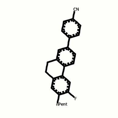 CCCCCc1cc2c(cc1F)-c1ccc(-c3ccc(C#N)cc3)cc1CC2